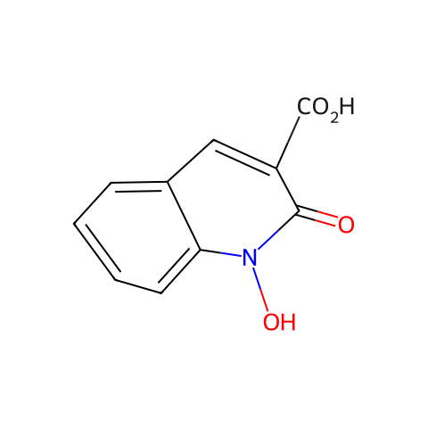 O=C(O)c1cc2ccccc2n(O)c1=O